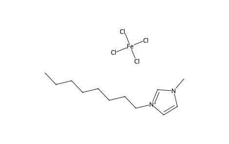 CCCCCCCC[n+]1ccn(C)c1.[Cl][Fe]([Cl])([Cl])[Cl]